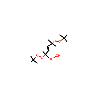 CC(C)(C)OOC(C)(C)C=CC(C)(C)OOC(C)(C)C.OO